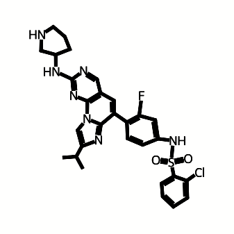 CC(C)c1cn2c(n1)c(-c1ccc(NS(=O)(=O)c3ccccc3Cl)cc1F)cc1cnc(NC3CCCNC3)nc12